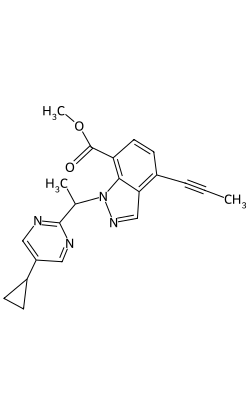 CC#Cc1ccc(C(=O)OC)c2c1cnn2C(C)c1ncc(C2CC2)cn1